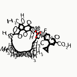 CO[C@H]1/C=C/O[C@@]2(C)Oc3c(C)c(O)c4c(c3C2=O)C(=O)C(NCC2CCN(c3c(F)cn5c(=O)c(C(=O)O)cc(C6CC6)c5c3C)C2)=C(NC(=O)/C(C)=C\C=C\[C@H](C)[C@H](O)[C@@H](C)[C@@H](O)[C@@H](C)[C@H](OC(C)=O)[C@@H]1C)C4=O